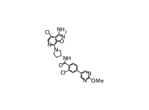 COc1ncc(-c2ccc(C(=O)N[C@@H]3CCN(c4ncc(Cl)c5c(N)noc45)C3)c(Cl)c2)cn1